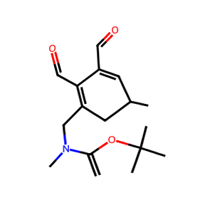 C=C(OC(C)(C)C)N(C)CC1=C(C=O)C(C=O)=CC(C)C1